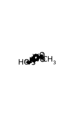 COC(=O)C1=Cc2sc(CO)cc2CC1